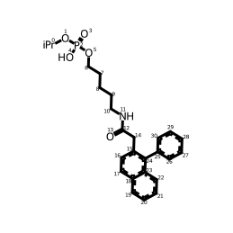 CC(C)OP(=O)(O)OCCCCCNC(=O)Cc1ccc2ccccc2c1-c1ccccc1